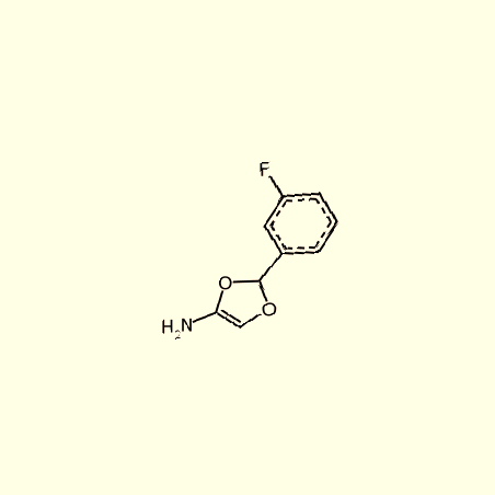 NC1=COC(c2cccc(F)c2)O1